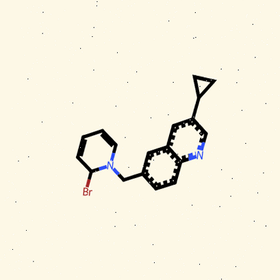 BrC1C=CC=CN1Cc1ccc2ncc(C3CC3)cc2c1